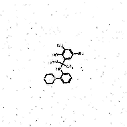 CCCCCC(C)(Pc1ccccc1N1CCCCC1)c1cc(C(C)(C)C)cc(C(C)(C)C)c1O